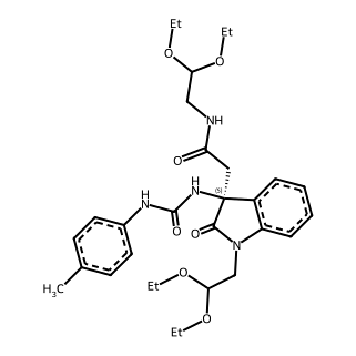 CCOC(CNC(=O)C[C@@]1(NC(=O)Nc2ccc(C)cc2)C(=O)N(CC(OCC)OCC)c2ccccc21)OCC